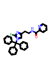 O=C(NCCc1cn(C(c2ccccc2)(c2ccccc2)c2ccccc2)c(F)n1)c1ccccn1